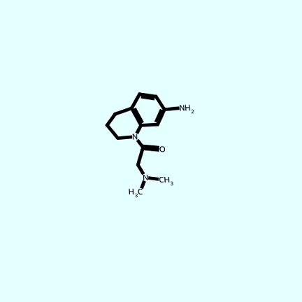 CN(C)CC(=O)N1CCCc2ccc(N)cc21